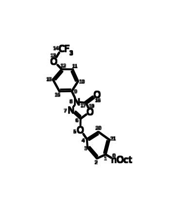 CCCCCCCCc1ccc(Oc2nn(-c3ccc(OC(F)(F)F)cc3)c(=O)o2)cc1